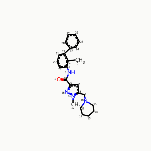 Cc1c(NC(=O)c2cc(CN3CCCCC3)n(C)n2)cccc1-c1ccccc1